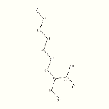 [CH2]CCCCCCC(C[CH2])C(C)C